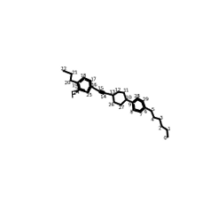 CCCCCCc1ccc(C2CCC(C#Cc3ccc(CCC)c(F)c3)CC2)cc1